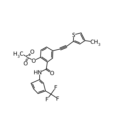 Cc1csc(C#Cc2ccc(OS(C)(=O)=O)c(C(=O)Nc3cccc(C(F)(F)F)c3)c2)c1